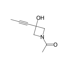 CC#CC1(O)CN(C(C)=O)C1